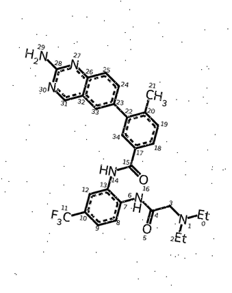 CCN(CC)CC(=O)Nc1ccc(C(F)(F)F)cc1NC(=O)c1ccc(C)c(-c2ccc3nc(N)ncc3c2)c1